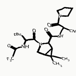 CC(C)(C)C(NC(=O)C(F)(F)F)C(=O)N1CC2C(C1C(=O)NC(C#N)C(=O)N1CCCC1)C2(C)C